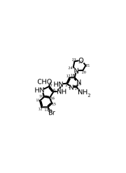 Nc1nc(NNc2c(C=O)[nH]c3ccc(Br)cc23)cc(N2CCOCC2)n1